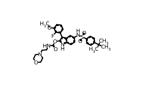 COc1cccc(-c2c(OC(=O)NCCN3CCOCC3)[nH]c3ccc(NS(=O)(=O)c4ccc(C(C)(C)C)cc4)cc23)c1F